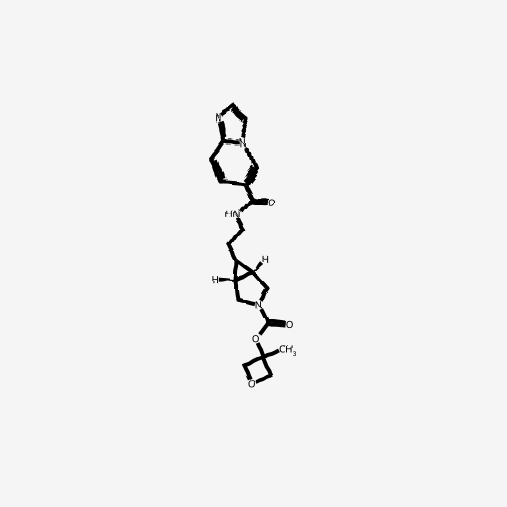 CC1(OC(=O)N2C[C@@H]3C(CCNC(=O)c4ccc5nccn5c4)[C@@H]3C2)COC1